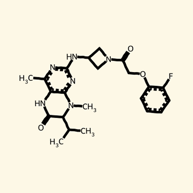 Cc1nc(NC2CN(C(=O)COc3ccccc3F)C2)nc2c1NC(=O)C(C(C)C)N2C